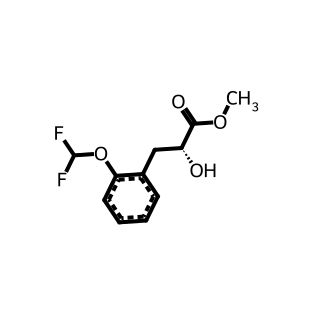 COC(=O)[C@H](O)Cc1ccccc1OC(F)F